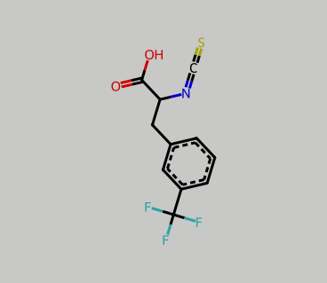 O=C(O)C(Cc1cccc(C(F)(F)F)c1)N=C=S